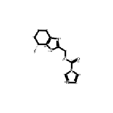 C[C@@H]1CCCc2nc(COC(=O)n3ccnc3)sc21